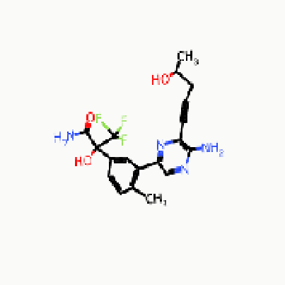 Cc1ccc(C(O)(C(N)=O)C(F)(F)F)cc1-c1cnc(N)c(C#CCC(C)O)n1